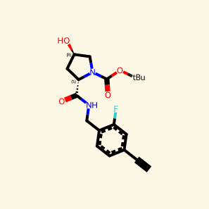 C#Cc1ccc(CNC(=O)[C@@H]2C[C@@H](O)CN2C(=O)OC(C)(C)C)c(F)c1